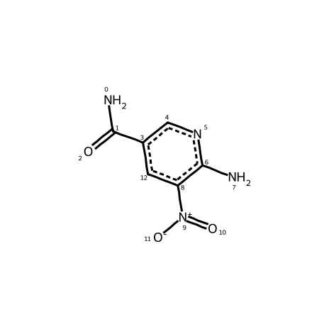 NC(=O)c1cnc(N)c([N+](=O)[O-])c1